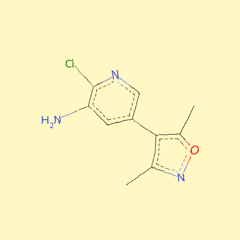 Cc1noc(C)c1-c1cnc(Cl)c(N)c1